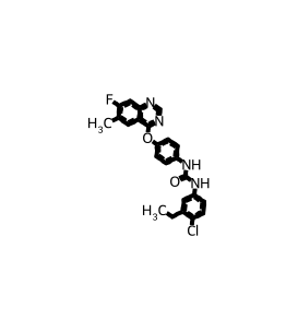 CCc1cc(NC(=O)Nc2ccc(Oc3ncnc4cc(F)c(C)cc34)cc2)ccc1Cl